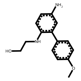 COc1ccc(-c2cc(N)ccc2NCCO)cc1